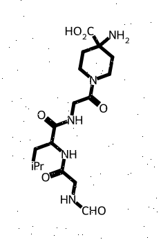 CC(C)CC(NC(=O)CNC=O)C(=O)NCC(=O)N1CCC(N)(C(=O)O)CC1